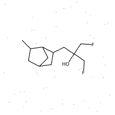 CC1CC2CC(CC(O)(CF)CF)C1C2